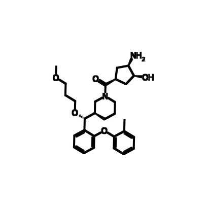 COCCCO[C@@H](c1ccccc1Oc1ccccc1C)[C@@H]1CCCN(C(=O)[C@H]2C[C@@H](N)[C@@H](O)C2)C1